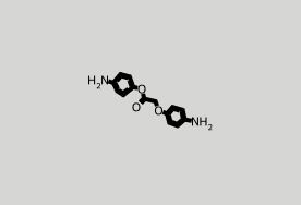 Nc1ccc(OCC(=O)Oc2ccc(N)cc2)cc1